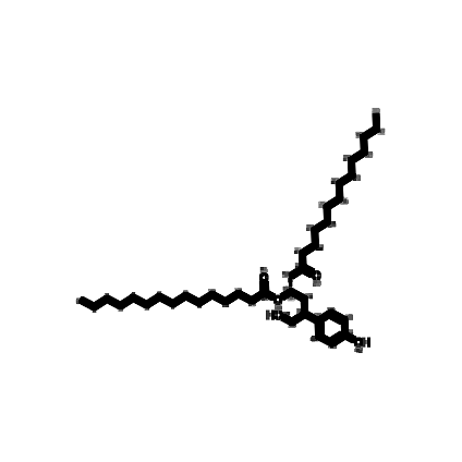 CCCCCCCCCCCCCCC(=O)O[C@H](CC(=O)CCCCCCCCCCCCC)CC(CO)c1ccc(O)cc1